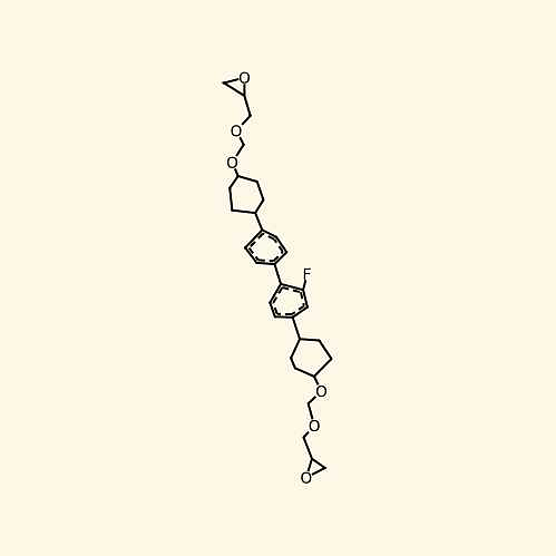 Fc1cc(C2CCC(OCOCC3CO3)CC2)ccc1-c1ccc(C2CCC(OCOCC3CO3)CC2)cc1